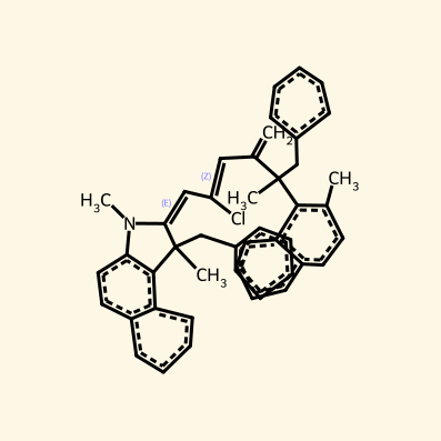 C=C(/C=C(Cl)/C=C1/N(C)c2ccc3ccccc3c2C1(C)Cc1ccccc1)C(C)(Cc1ccccc1)c1c(C)ccc2ccccc12